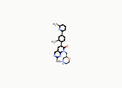 CNc1ncc2cc(-c3ccc(-c4cccc(C)n4)cc3C)c(=O)n(C[C@@H]3CNCCO3)c2n1